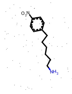 NCCCCCCc1ccc([N+](=O)[O-])cc1